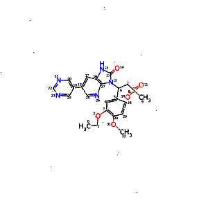 CCOc1cc(C(CS(C)(=O)=O)n2c(=O)[nH]c3cc(-c4cncnc4)cnc32)ccc1OC